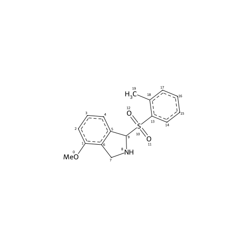 COc1cccc2c1CNC2S(=O)(=O)c1ccccc1C